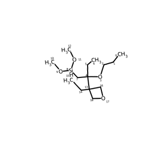 CCCOC(CC)(C[SiH](OC)OC)C1(CC)COC1